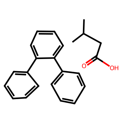 CC(C)CC(=O)O.c1ccc(-c2ccccc2-c2ccccc2)cc1